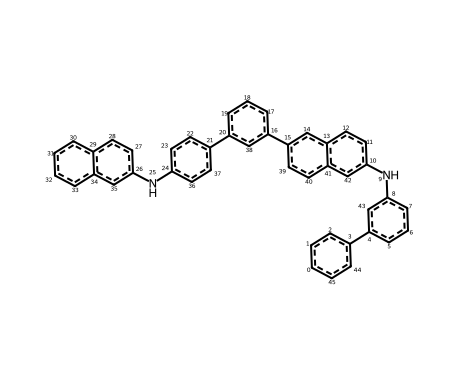 c1ccc(-c2cccc(Nc3ccc4cc(-c5cccc(-c6ccc(Nc7ccc8ccccc8c7)cc6)c5)ccc4c3)c2)cc1